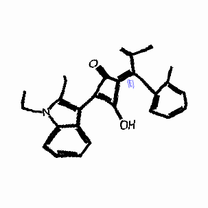 C=C(C)/C(=C1\C(=O)C(c2c(C)n(CC)c3ccccc23)=C1O)c1ccccc1C